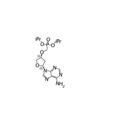 CC(C)OP(=O)(CO[C@@H]1CO[C@H](n2cnc3c(N)ncnc32)C1)OC(C)C